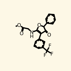 COC(=O)CNC1=C(c2cccc(C(F)(F)F)c2)C(=O)C(c2ccccc2)O1